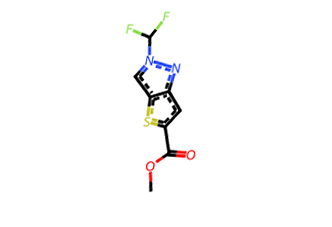 COC(=O)c1cc2nn(C(F)F)cc2s1